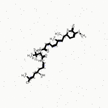 COC1=CCC([C@@H](C)/C=C(C)/C=C\C=C/C(=O)N[C@H](C(=O)N/C=C\C[C@@H](O)C/C=C(\C)Cl)C(C)(C)C)OC1=O